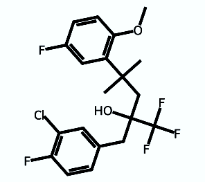 COc1ccc(F)cc1C(C)(C)CC(O)(Cc1ccc(F)c(Cl)c1)C(F)(F)F